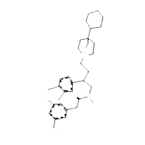 CN(CC(CC[N+]12CCC(C3CCCCC3)(CC1)CC2)c1ccc(Cl)c(Cl)c1)C(=O)Cc1cc(C(F)(F)F)cc(C(F)(F)F)c1.[Cl-]